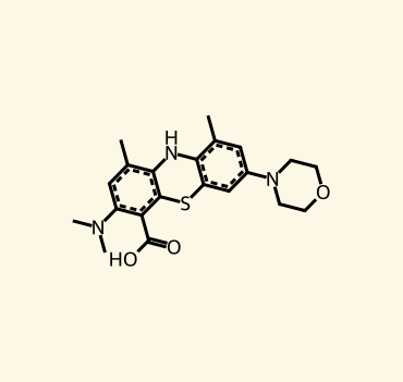 Cc1cc(N2CCOCC2)cc2c1Nc1c(C)cc(N(C)C)c(C(=O)O)c1S2